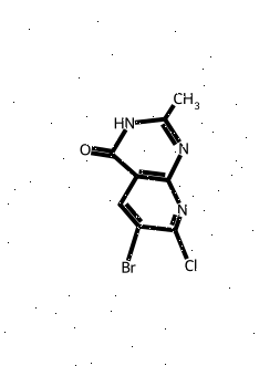 Cc1nc2nc(Cl)c(Br)cc2c(=O)[nH]1